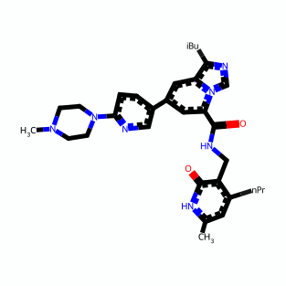 CCCc1cc(C)[nH]c(=O)c1CNC(=O)c1cc(-c2ccc(N3CCN(C)CC3)nc2)cc2c(C(C)CC)ncn12